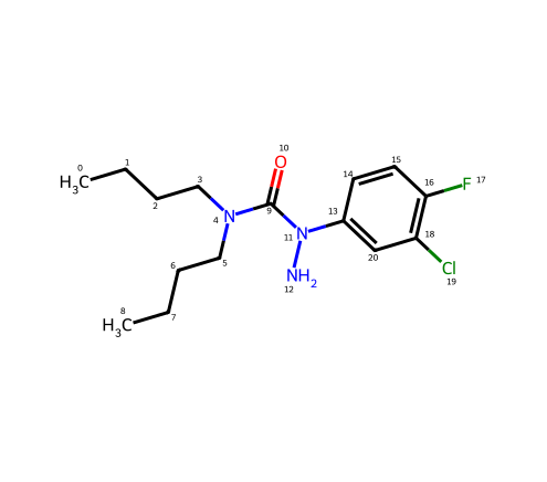 CCCCN(CCCC)C(=O)N(N)c1ccc(F)c(Cl)c1